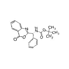 CC(C)(C)OC(=O)N[C@H](c1ccccc1)c1nc2ccccc2c(=O)o1